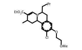 CCOC(=O)C1=CN2C(CC(C)C)Cc3cc(OCCOC)c(Cl)cc3C2CC1C